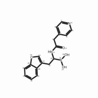 O=C(Cc1ccncc1)NC(Cc1coc2ccccc12)B(O)O